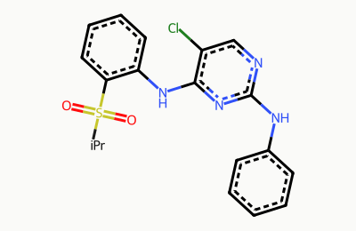 CC(C)S(=O)(=O)c1ccccc1Nc1nc(Nc2ccccc2)ncc1Cl